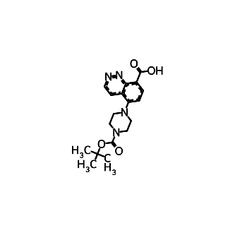 CC(C)(C)OC(=O)N1CCN(c2ccc(C(=O)O)c3nnccc23)CC1